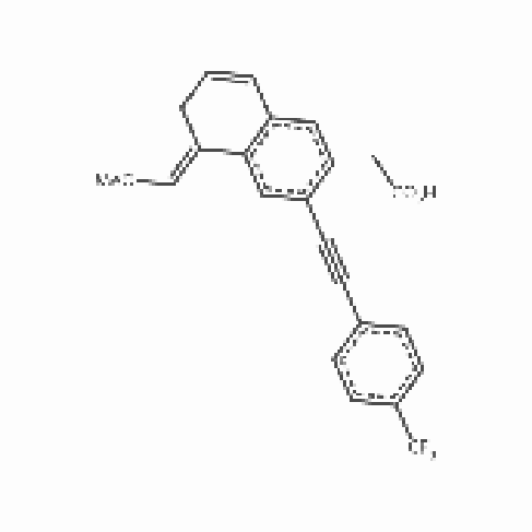 CC(=O)O.COC=C1CC=Cc2ccc(C#Cc3ccc(C(F)(F)F)cc3)cc21